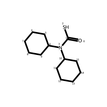 O=C(S)N(C1CCCCC1)C1CCCCC1